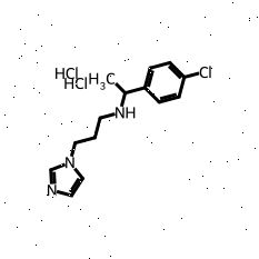 CC(NCCCn1ccnc1)c1ccc(Cl)cc1.Cl.Cl